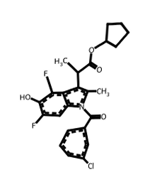 Cc1c(C(C)C(=O)OC2CCCC2)c2c(F)c(O)c(F)cc2n1C(=O)c1cccc(Cl)c1